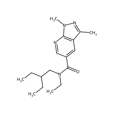 CCC(CC)CN(CC)C(=O)c1cnc2c(c1)c(C)nn2C